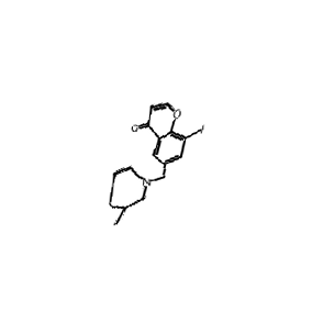 CC1CCCN(Cc2cc(I)c3occc(=O)c3c2)C1